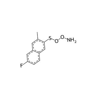 Cc1cc2cc(F)ccc2cc1SOON